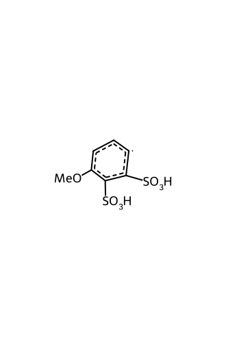 COc1cc[c]c(S(=O)(=O)O)c1S(=O)(=O)O